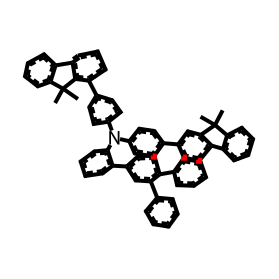 CC1(C)c2ccccc2-c2ccc(-c3ccc(N(c4ccc(-c5cccc6c5C(C)(C)c5ccccc5-6)cc4)c4ccccc4-c4ccc(-c5ccccc5)c(-c5ccccc5)c4)cc3)cc21